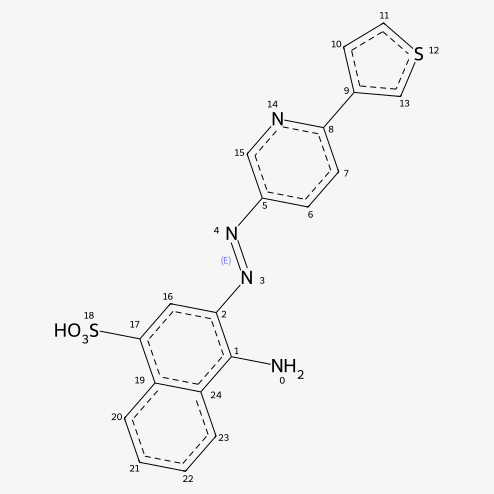 Nc1c(/N=N/c2ccc(-c3ccsc3)nc2)cc(S(=O)(=O)O)c2ccccc12